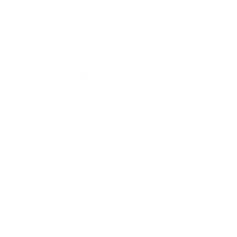 CC(C)(C)c1ccc2c(c1)Oc1cc(-c3cccc(-c4c5ccccc5c(-c5ccccc5)c5ccccc45)c3)cc3c1B2c1ccccc1O3